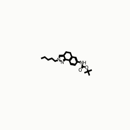 CCCCCn1cc2c(n1)-c1ccc(NC(=O)OC(C)(C)C)cc1CC2